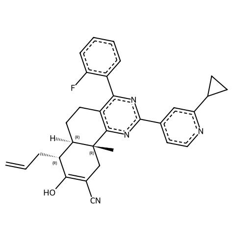 C=CC[C@H]1C(O)=C(C#N)C[C@@]2(C)c3nc(-c4ccnc(C5CC5)c4)nc(-c4ccccc4F)c3CC[C@H]12